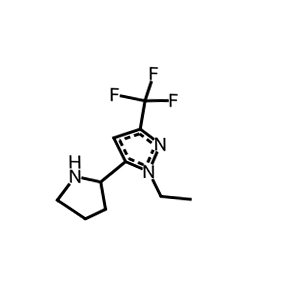 CCn1nc(C(F)(F)F)cc1C1CCCN1